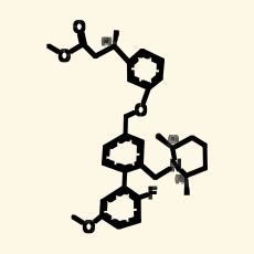 COC(=O)C[C@@H](C)c1cccc(OCc2ccc(-c3cc(OC)ccc3F)c(CN3[C@H](C)CCC[C@@H]3C)c2)c1